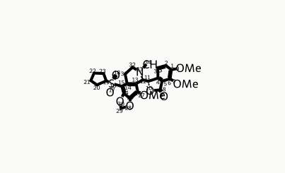 COc1ccc2c(c1OC)C(=O)O[C@@H]2[C@H]1c2c(c(S(=O)(=O)C3CCCC3)c3c(c2OC)OCO3)CCN1C